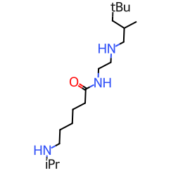 CC(CNCCNC(=O)CCCCCNC(C)C)CC(C)(C)C